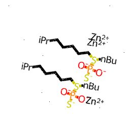 CCCCS(CCCCCC(C)C)=P([O-])([O-])[S-].CCCCS(CCCCCC(C)C)=P([O-])([O-])[S-].[Zn+2].[Zn+2].[Zn+2]